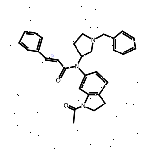 CC(=O)N1CCc2ccc(N(C(=O)/C=C/c3ccccc3)C3CCN(Cc4ccccc4)C3)cc21